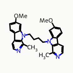 COc1ccc2c3ccnc(C)c3n(CCCCn3c4cc(OC)ccc4c4ccnc(C)c43)c2c1